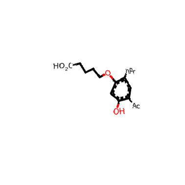 CCCc1cc(C(C)=O)c(O)cc1OCCCCC(=O)O